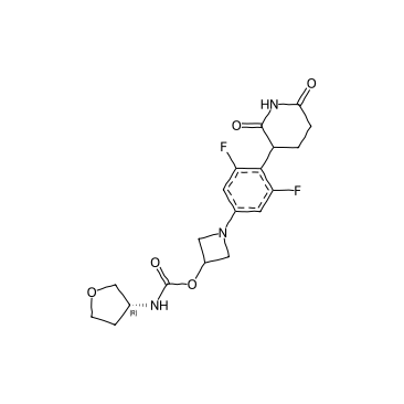 O=C1CCC(c2c(F)cc(N3CC(OC(=O)N[C@@H]4CCOC4)C3)cc2F)C(=O)N1